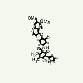 COc1cc2nccc(Oc3ccc(NC(=O)c4c(C)n(C)c(C)c(-c5cccs5)c4=O)cc3F)c2nc1OC